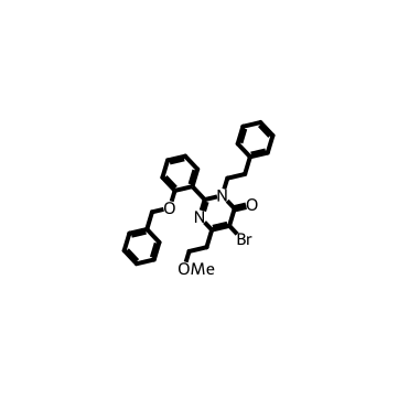 COCCc1nc(-c2ccccc2OCc2ccccc2)n(CCc2ccccc2)c(=O)c1Br